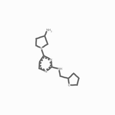 NC1CCN(c2ccnc(NCC3CCCO3)n2)C1